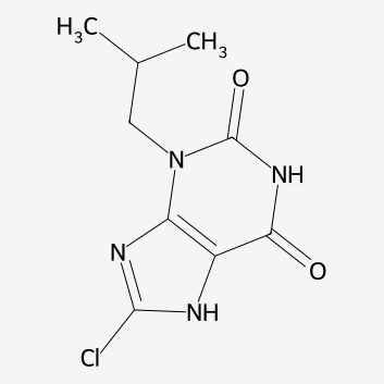 CC(C)Cn1c(=O)[nH]c(=O)c2[nH]c(Cl)nc21